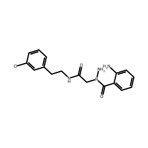 Nc1ccccc1C(=O)N(N)CC(=O)NCCc1cccc(Cl)c1